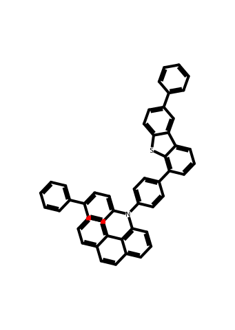 c1ccc(-c2ccc(N(c3ccc(-c4cccc5c4sc4ccc(-c6ccccc6)cc45)cc3)c3cccc4ccc5ccccc5c34)cc2)cc1